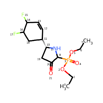 CCOP(=O)(OCC)C1N[C@@H](C2C=CC(F)C(F)C2)CC1=O